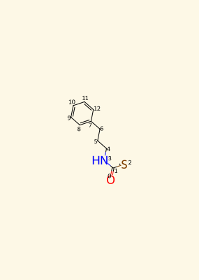 O=C([S])NCCCc1ccccc1